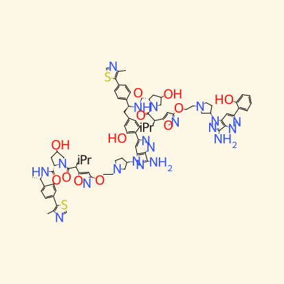 Cc1ncsc1-c1ccc([C@H](C)NC(=O)[C@@H]2C[C@@H](O)CN2C(=O)[C@H](c2cc(OCCN3CCC(n4nc(N)c5nnc(-c6ccc(C[C@H](NC(=O)[C@@H]7C[C@@H](O)CN7C(=O)[C@@H](c7cc(OCCN8CCC(n9nc(N)c%10nnc(-c%11ccccc%11O)cc%109)C8)no7)C(C)C)c7ccc(-c8scnc8C)cc7)cc6O)cc54)C3)no2)C(C)C)cc1